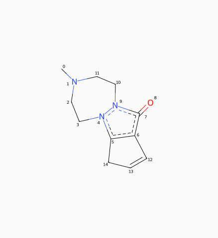 CN1CCn2c3c(c(=O)n2CC1)C=CC3